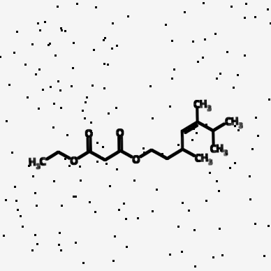 CCOC(=O)CC(=O)OCCC(C)C=C(C)C(C)C